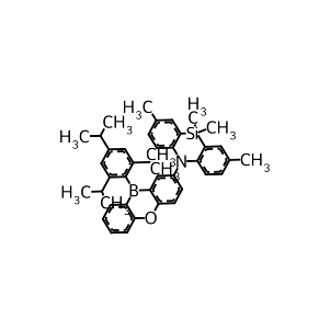 Cc1ccc2c(c1)[Si](C)(C)c1cc(C)ccc1N2c1ccc2c(c1)B(c1c(C(C)C)cc(C(C)C)cc1C(C)C)c1ccccc1O2